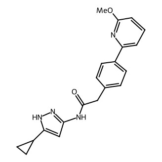 COc1cccc(-c2ccc(CC(=O)Nc3cc(C4CC4)[nH]n3)cc2)n1